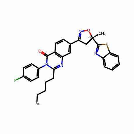 CC(=O)CCCCc1nc2cc(C3=NO[C@](C)(c4nc5ccccc5s4)C3)ccc2c(=O)n1-c1ccc(F)cc1